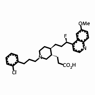 COc1ccc2nccc([C@H](F)CC[C@@H]3CCN(CCCc4ccccc4Cl)C[C@H]3CCC(=O)O)c2c1